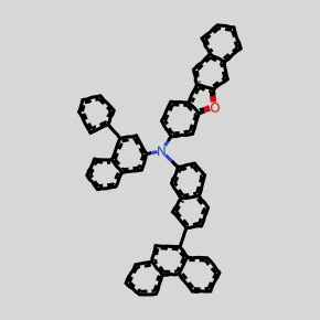 c1ccc(-c2cc(N(c3ccc4ccc(-c5cc6ccccc6c6ccccc56)cc4c3)c3ccc4c(c3)oc3cc5ccccc5cc34)cc3ccccc23)cc1